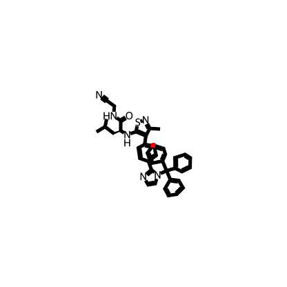 Cc1nsc(N[C@@H](CC(C)C)C(=O)NCC#N)c1-c1ccc(-c2nccn2C(c2ccccc2)(c2ccccc2)c2ccccc2)cc1